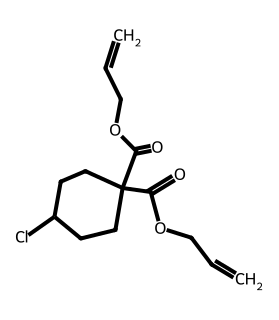 C=CCOC(=O)C1(C(=O)OCC=C)CCC(Cl)CC1